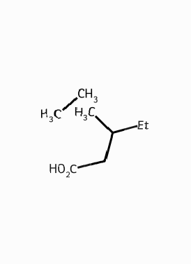 CC.CCC(C)CC(=O)O